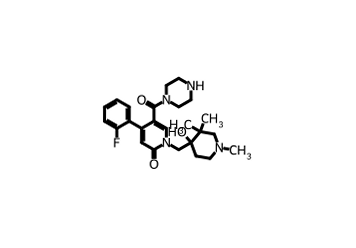 CN1CCC(O)(Cn2cc(C(=O)N3CCNCC3)c(-c3ccccc3F)cc2=O)C(C)(C)C1